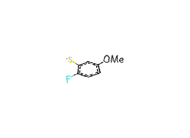 COc1ccc(F)c([S])c1